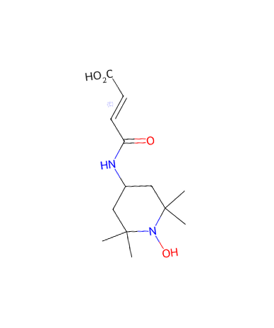 CC1(C)CC(NC(=O)/C=C/C(=O)O)CC(C)(C)N1O